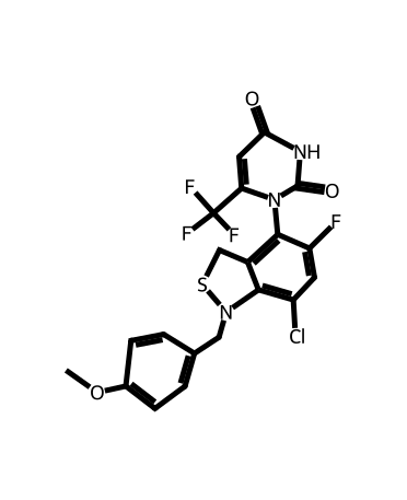 COc1ccc(CN2SCc3c2c(Cl)cc(F)c3-n2c(C(F)(F)F)cc(=O)[nH]c2=O)cc1